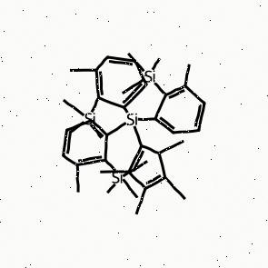 CC1=C(C)C(C)C([Si](c2cccc(C)c2[Si](C)(C)C)(c2cccc(C)c2[Si](C)(C)C)c2cccc(C)c2[Si](C)(C)C)=C1C